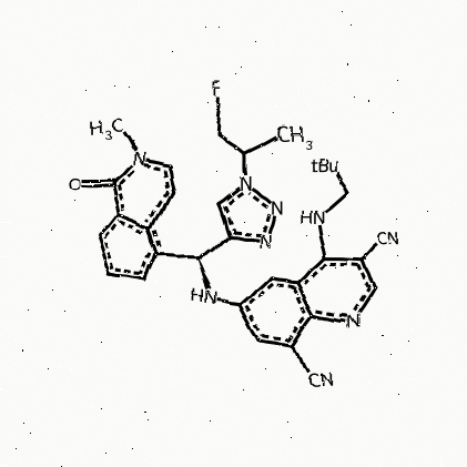 CC(CF)n1cc([C@@H](Nc2cc(C#N)c3ncc(C#N)c(NCC(C)(C)C)c3c2)c2cccc3c(=O)n(C)ccc23)nn1